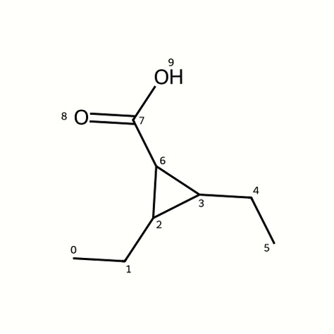 CCC1C(CC)C1C(=O)O